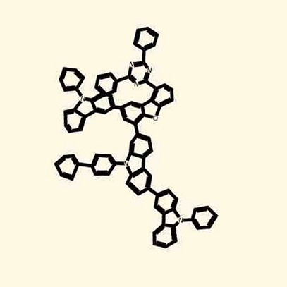 c1ccc(-c2ccc(-n3c4ccc(-c5ccc6c(c5)c5ccccc5n6-c5ccccc5)cc4c4ccc(-c5cc(-c6ccc7c(c6)c6ccccc6n7-c6ccccc6)cc6c5oc5cccc(-c7nc(-c8ccccc8)nc(-c8ccccc8)n7)c56)cc43)cc2)cc1